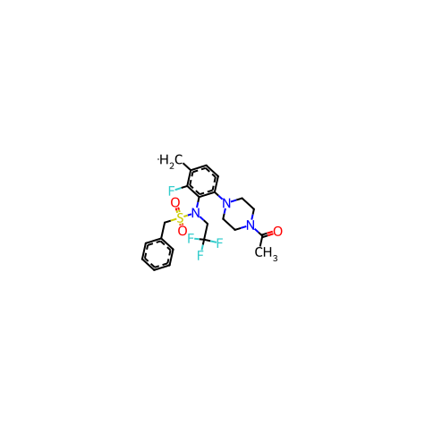 [CH2]c1ccc(N2CCN(C(C)=O)CC2)c(N(CC(F)(F)F)S(=O)(=O)Cc2ccccc2)c1F